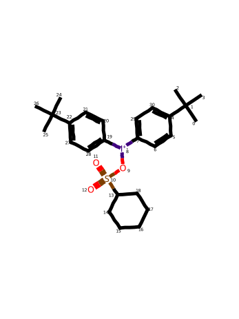 CC(C)(C)c1ccc([I+](OS(=O)(=O)C2CCCCC2)c2ccc(C(C)(C)C)cc2)cc1